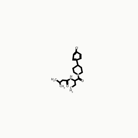 CCC(NC(=O)CC(C)C)C(=O)N1CCC(c2ccc(Cl)cc2)CC1